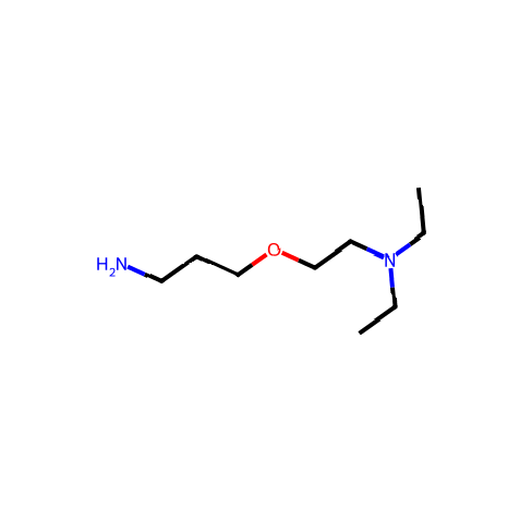 CCN(CC)CCOCCCN